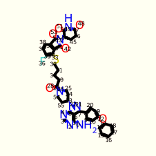 Nc1ncnc2c1c(-c1ccc(Oc3ccccc3)cc1)nn2C1CCN(C(=O)CCCCSc2c(F)ccc3c2C(=O)N(C2CCC(=O)NC2=O)C3=O)CC1